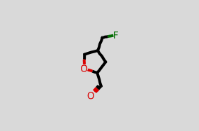 O=CC1CC(CF)CO1